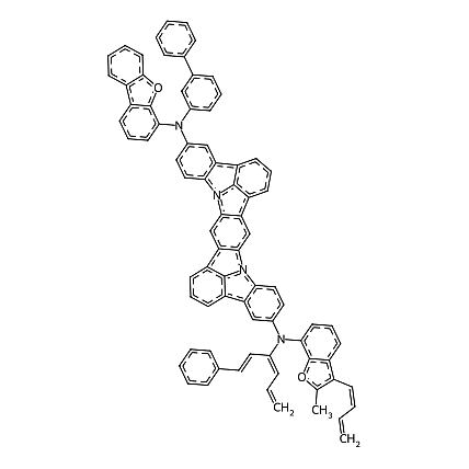 C=C/C=C\c1c(C)oc2c(N(C(/C=C/c3ccccc3)=C/C=C)c3ccc4c(c3)c3cccc5c6cc7c(cc6n4c35)c3cccc4c5cc(N(c6cccc(-c8ccccc8)c6)c6cccc8c6oc6ccccc68)ccc5n7c43)cccc12